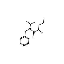 CCCC(C)C(=O)N(Cc1ccccc1)C(C)C